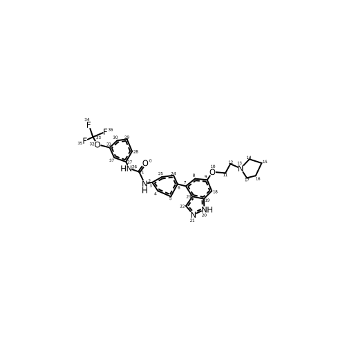 O=C(Nc1ccc(-c2cc(OCCN3CCCC3)cc3[nH]ncc23)cc1)Nc1cccc(OC(F)(F)F)c1